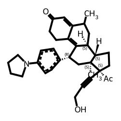 CC(=O)[C@@]1(C#CCO)CC[C@H]2[C@@H]3CC(C)C4=CC(=O)CCC4=C3[C@@H](c3ccc(N4CCCC4)cc3)C[C@@]21C